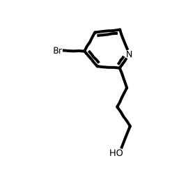 OCCCc1cc(Br)ccn1